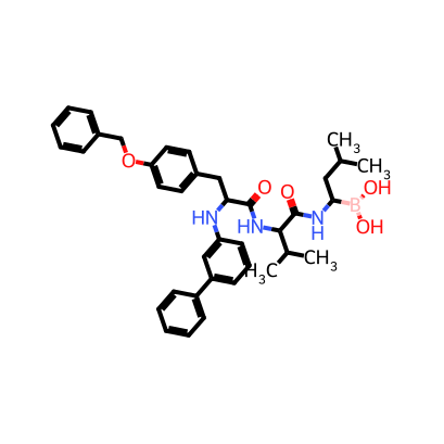 CC(C)CC(NC(=O)C(NC(=O)C(Cc1ccc(OCc2ccccc2)cc1)Nc1cccc(-c2ccccc2)c1)C(C)C)B(O)O